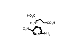 N[C@@H](CCC(=O)O)C(=O)O.Nc1ccc([N+](=O)[O-])cc1